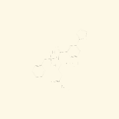 CC(C)(Cc1ccccc1)N(C(=O)c1cccc(-c2cccs2)c1)[C@@H](CCC(N)=O)C(=O)O